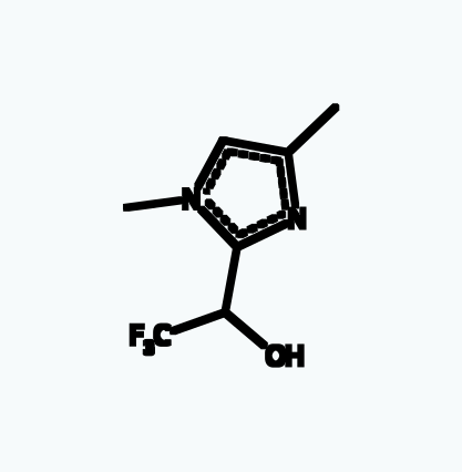 Cc1cn(C)c(C(O)C(F)(F)F)n1